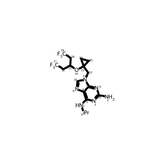 CC(C)Nc1nc(N)nc2c1ncn2CC1(O[C](CC(F)(F)F)CC(F)(F)F)CC1